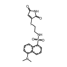 CN(C)c1cccc2c(S(=O)(=O)NCCSC3=CC(=O)NC3=O)cccc12